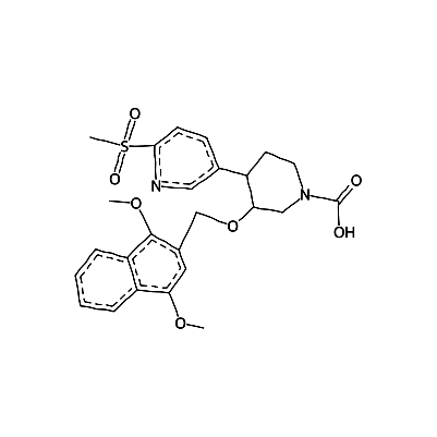 COc1cc(COC2CN(C(=O)O)CCC2c2ccc(S(C)(=O)=O)nc2)c(OC)c2ccccc12